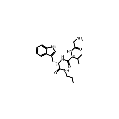 CCCNC(=O)[C@H](Cc1c[nH]c2ccccc12)NC(=O)[C@@H](NC(=O)CN)C(C)C